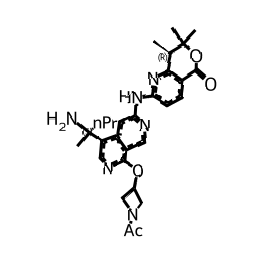 CCC[C@](C)(N)c1cnc(OC2CN(C(C)=O)C2)c2cnc(Nc3ccc4c(n3)[C@@H](C)C(C)(C)OC4=O)cc12